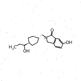 CCC(O)[C@H]1CC[C@H](CN2Cc3ccc(O)cc3C2=O)CC1